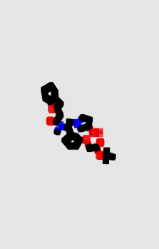 CN(C(=O)Cc1cc2ccccc2o1)C(CN1CCC(O)C1)c1cccc(OCC(=O)OC(C)(C)C)c1